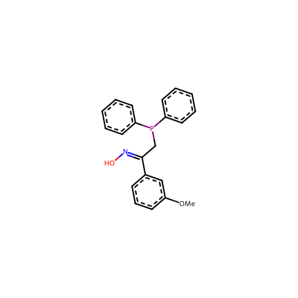 COc1cccc(C(CP(c2ccccc2)c2ccccc2)=NO)c1